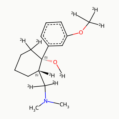 [2H]O[C@@]1(c2cccc(OC([2H])([2H])[2H])c2)C([2H])([2H])CCC[C@@]1([2H])C([2H])([2H])N(C)C